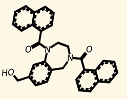 O=C(c1cccc2ccccc12)N1CCN(C(=O)c2cccc3ccccc23)c2cc(CO)ccc2C1